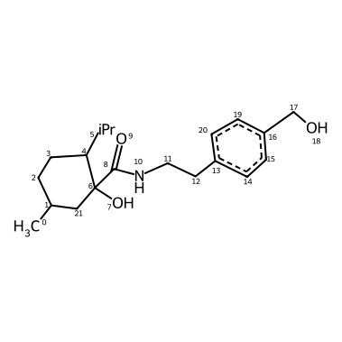 CC1CCC(C(C)C)C(O)(C(=O)NCCc2ccc(CO)cc2)C1